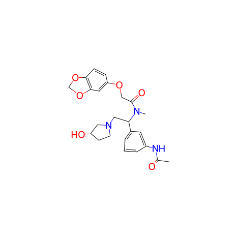 CC(=O)Nc1cccc(C(CN2CC[C@H](O)C2)N(C)C(=O)COc2ccc3c(c2)OCO3)c1